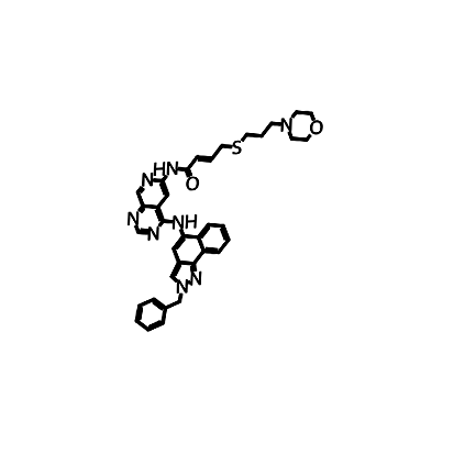 O=C(C=CCSCCCN1CCOCC1)Nc1cc2c(Nc3cc4cn(Cc5ccccc5)nc4c4ccccc34)ncnc2cn1